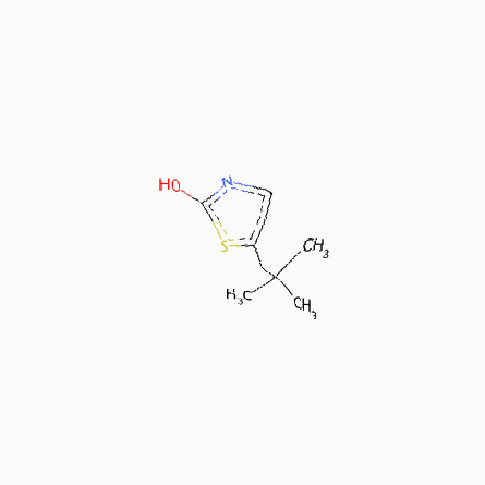 CC(C)(C)c1cnc(O)s1